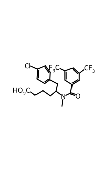 CN(C(=O)c1cc(C(F)(F)F)cc(C(F)(F)F)c1)C(CCCC(=O)O)Cc1ccc(Cl)cc1